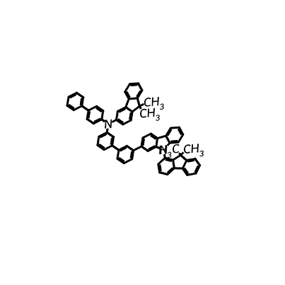 CC1(C)c2ccccc2-c2cc(N(c3ccc(-c4ccccc4)cc3)c3cccc(-c4cccc(-c5ccc6c7ccccc7n(-c7cccc8c7C(C)(C)c7ccccc7-8)c6c5)c4)c3)ccc21